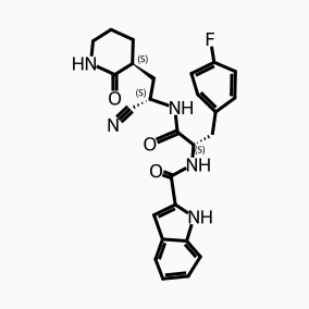 N#C[C@H](C[C@@H]1CCCNC1=O)NC(=O)[C@H](Cc1ccc(F)cc1)NC(=O)c1cc2ccccc2[nH]1